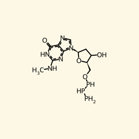 CNc1nc2c(ncn2[C@H]2CC(O)[C@@H](COPPP)O2)c(=O)[nH]1